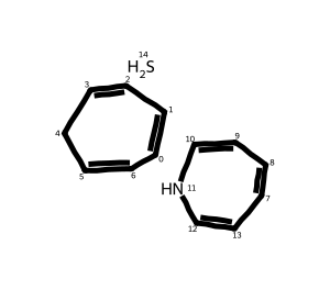 C1=CC=CCC=C1.C1=CC=CNC=C1.S